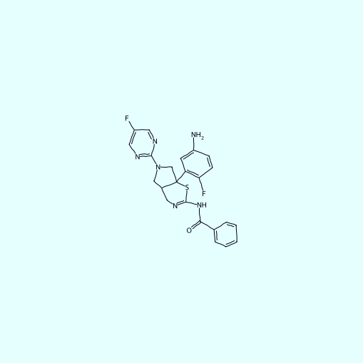 Nc1ccc(F)c(C23CN(c4ncc(F)cn4)CC2CN=C(NC(=O)c2ccccc2)S3)c1